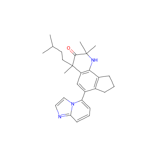 CC(C)CCC1(C)C(=O)C(C)(C)Nc2c1cc(-c1cccc3nccn13)c1c2CCC1